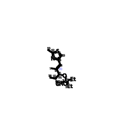 CC[Si](CC)(CC)O[C@H](/C(C)=C/c1csc(C)n1)[C@@H](C)C=O